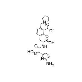 C[N+]1(Cc2ccc3c(c2C(=O)[O-])OB(O)[C@@H](NC(=O)/C(=N\O)c2csc(N)n2)C3)CCCC1